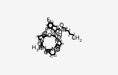 C=CCC/C=C/C(=O)N[C@@H](Cc1cc(F)cc(F)c1)C(=O)N[C@H]1COC(=O)[C@@H]2CCCN2C(=O)[C@H](C)NC(=O)[C@@H]2CCCCN2C(=O)[C@@H]2CCCN2C1=O